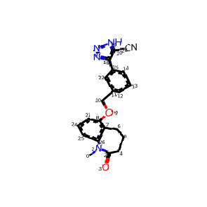 CN1C(=O)CCCc2c(OCc3cccc(-c4nn[nH]c4C#N)c3)cccc21